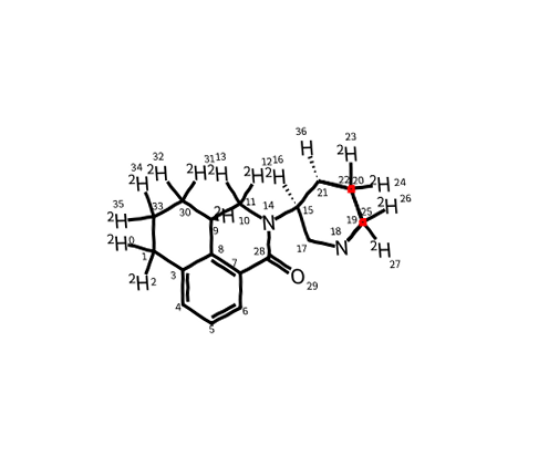 [2H]C1([2H])c2cccc3c2[C@@]([2H])(C([2H])([2H])N([C@]2([2H])CN4CC[C@H]2C([2H])([2H])C4([2H])[2H])C3=O)C([2H])([2H])C1([2H])[2H]